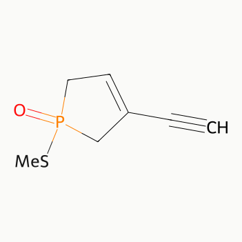 C#CC1=CCP(=O)(SC)C1